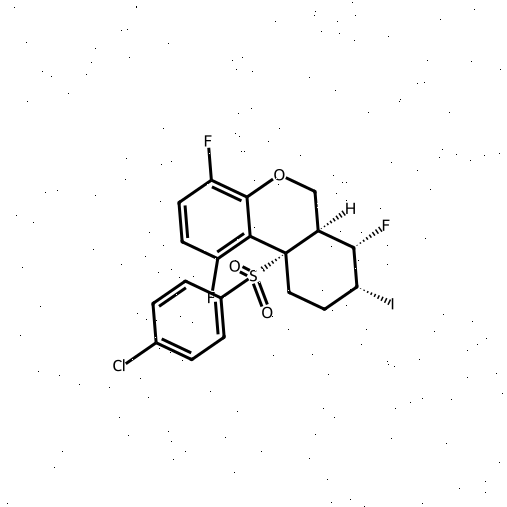 O=S(=O)(c1ccc(Cl)cc1)[C@@]12CC[C@@H](I)[C@@H](F)[C@@H]1COc1c(F)ccc(F)c12